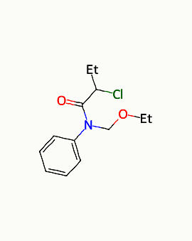 CCOCN(C(=O)C(Cl)CC)c1ccccc1